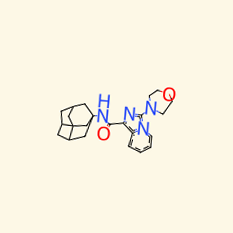 O=C(NC12CC3CC4CC(C1)C4(C3)C2)c1nc(N2CCOCC2)n2ccccc12